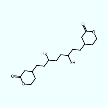 O=C1CC(CCC(S)CCC(S)CCC2CCOC(=O)C2)CCO1